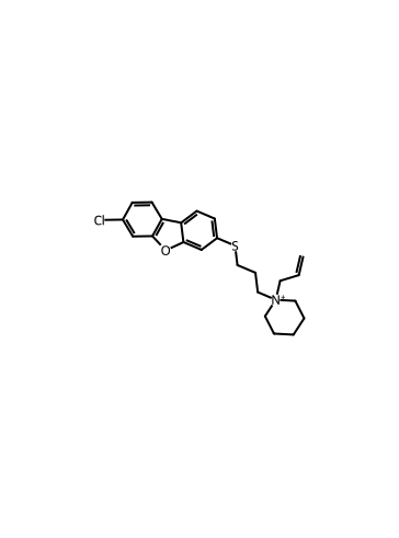 C=CC[N+]1(CCCSc2ccc3c(c2)oc2cc(Cl)ccc23)CCCCC1